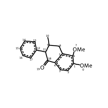 COc1ccc2c(c1OC)CC(C)C(c1ccccc1)C2=O